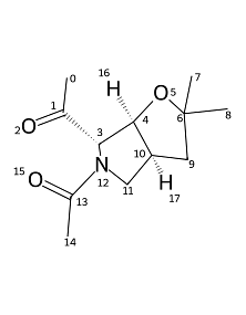 CC(=O)[C@@H]1[C@H]2OC(C)(C)C[C@H]2CN1C(C)=O